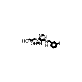 OC[C@@H](O)Cn1cnc2c(NCc3cccc(I)c3)ncnc21